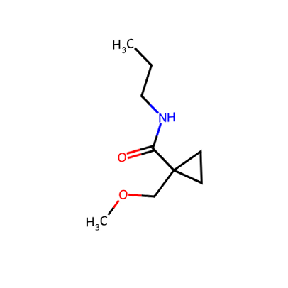 CCCNC(=O)C1(COC)CC1